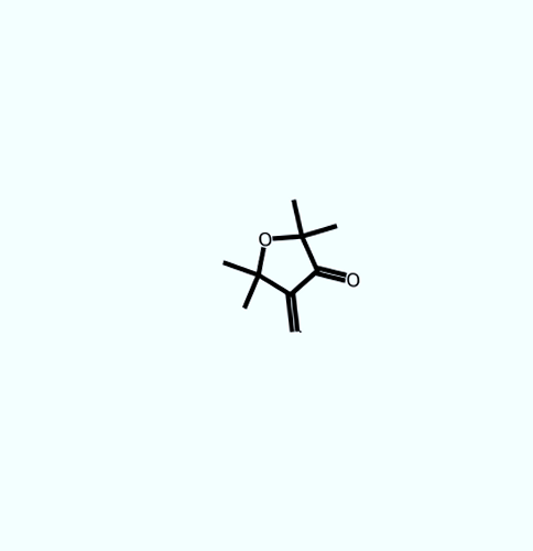 [CH]=C1C(=O)C(C)(C)OC1(C)C